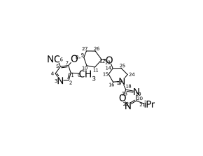 Cc1cncc(C#N)c1O[C@H]1CC[C@H](OC2CCN(c3nc(C(C)C)no3)CC2)CC1